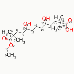 CCOC(=O)C(C)(C)CCC(O)CCCC(O)CCC(C)(C)C(=O)O